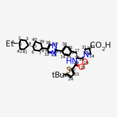 CC[C@H]1CC[C@H](C2CCC(c3cnc(-c4ccc(C[C@H](NC(=O)c5ccc(C(C)(C)C)s5)C(=O)N5CC(C(=O)O)C5)cc4)nc3)CC2)CC1